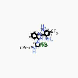 CCCCCNC1CCN(c2nc(-c3c(N)cc(C(F)(F)F)cc3N)nc3ccccc23)C1.Cl.Cl